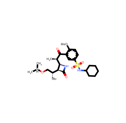 COc1ccc(S(=O)(=O)NC2CCCCC2)cc1C(=O)[C@H](C)[C@H]1NC(=O)[C@H]1[C@@H](CO[SiH](C)C)C(C)(C)C